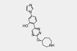 Oc1cc(-n2ccnc2)ccc1-c1cnc(O[C@H]2CCCNCC2)nn1